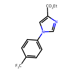 CCOC(=O)c1cn(-c2ccc(C(F)(F)F)cc2)cn1